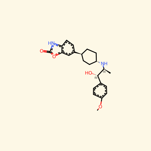 COc1ccc([C@H](O)[C@H](C)N[C@H]2CC[C@H](c3ccc4[nH]c(=O)oc4c3)CC2)cc1